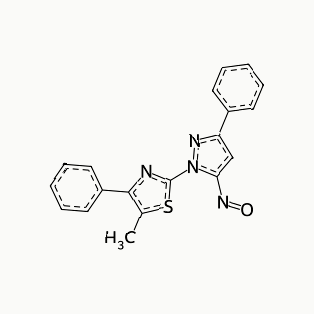 Cc1sc(-n2nc(-c3ccccc3)cc2N=O)nc1-c1ccccc1